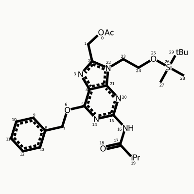 CC(=O)OCc1nc2c(OCc3ccccc3)nc(NC(=O)C(C)C)nc2n1CCO[Si](C)(C)C(C)(C)C